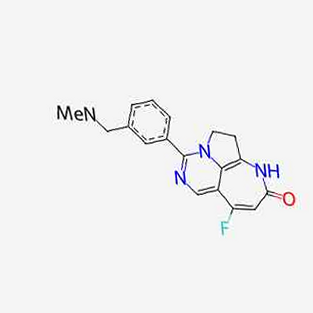 CNCc1cccc(C2=NC=C3C(F)=CC(=O)NC4=C3N2CC4)c1